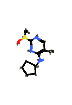 C[S+]([O-])c1ncc(C#N)c(NC2CCCC2)n1